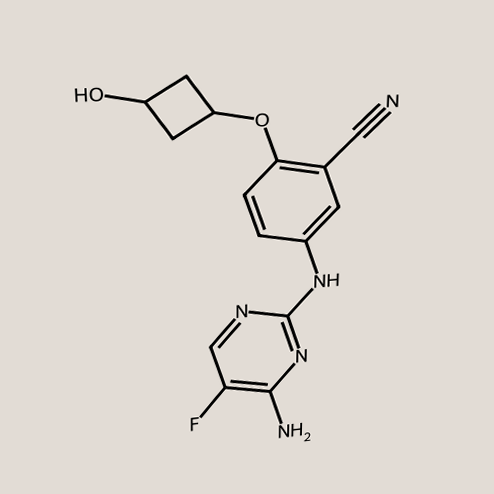 N#Cc1cc(Nc2ncc(F)c(N)n2)ccc1OC1CC(O)C1